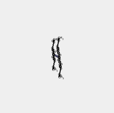 C=CC(=O)OCCCCCCOc1ccc(OC(=O)[C@H]2CC[C@H](C(=O)Oc3ccc(OC(=O)[C@H]4CC[C@H](C(=O)Oc5ccc(OCCCCCCOC(=O)C=C)cc5)CC4)c(/C=N/N=C/c4cc(OC(=O)c5ccc(OCCCCCCOC(=O)C=C)cc5)ccc4OC(=O)c4ccc(OCCCCCCOC(=O)C=C)cc4)c3)CC2)cc1